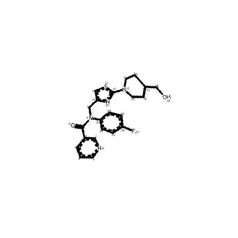 O=C(c1cccnc1)N(Cc1csc(N2CCC(CO)CC2)n1)c1ccc(F)cc1